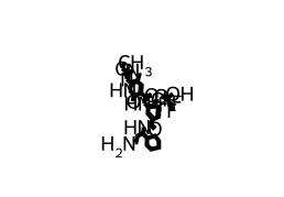 COc1ncc2cc(C(=O)Nc3cc(C(=O)NC(CCN)C4CCCCC4)ccc3Cl)c(=O)[nH]c2n1.O=C(O)C(F)(F)F